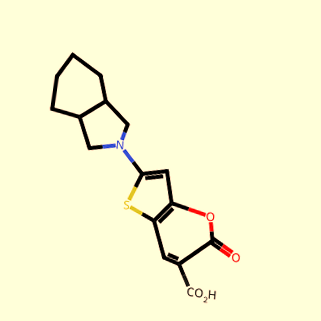 O=C(O)c1cc2sc(N3CC4CCCCC4C3)cc2oc1=O